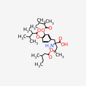 CCC(C)CC(=O)O[C@@H](C)CC(N)(Cc1ccc(OC(=O)C(C)C(C)C)c(OC(=O)C(C)C(C)C)c1)C(=O)O